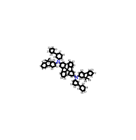 CC1(C)c2ccccc2-c2ccc(N(c3cccc(-c4ccccc4)c3)c3ccc4c(c3)-c3ccccc3C43c4ccccc4-c4cc(N(c5cccc(-c6ccccc6)c5)c5ccc6c(c5)C(C)(C)c5ccccc5-6)ccc43)cc21